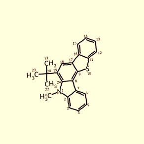 Cn1c2ccccc2c2c3sc4ccccc4c3cc(C(C)(C)C)c21